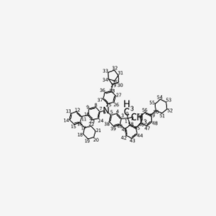 CC1(C)c2cc(N(c3ccc(-c4ccccc4C4CCCCC4)cc3)c3ccc(C4CC5CCC4C5)cc3)ccc2-c2cccc(-c3ccc(C4CCCCC4)cc3)c21